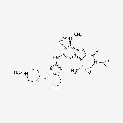 CCn1nc(Nc2cc3c(cc(C(=O)N(C4CC4)C4CC4)n3CC)c3c2ncn3C)cc1CN1CCN(C)CC1